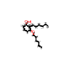 CCCCCCOc1cccc(O)c1CCCCCC